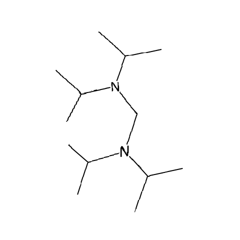 CC(C)N(CN(C(C)C)C(C)C)C(C)C